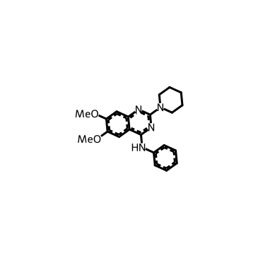 COc1cc2nc(N3CCCCC3)nc(Nc3ccccc3)c2cc1OC